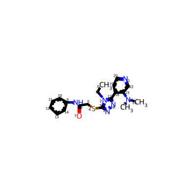 CCn1c(SCC(=O)Nc2ccccc2)nnc1-c1ccncc1N(C)C